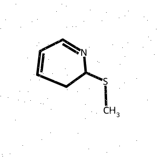 CSC1CC=CC=N1